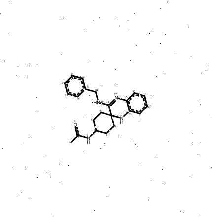 CC(=O)NC1CCC2(CC1)Nc1ccccc1N=C2NCc1ccccc1